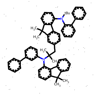 CC1(C)c2cc(CC(C)(C)N(c3cccc(-c4ccccc4)c3)c3cccc4c3-c3ccccc3C4(C)C)ccc2-c2c(N(c3ccccc3-c3ccccc3)C(C)(C)C)cccc21